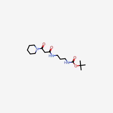 CC(C)(C)OC(=O)NCCCNC(=O)CC(=O)N1CCCCC1